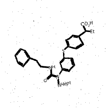 CCCCCCCN(C(=O)NCCc1ccccc1)c1cccc(Sc2ccc(C(CC)C(=O)O)cc2)c1